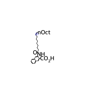 CCCCCCCC/C=C\CCCCCCCC(=O)Nc1cc2ccccc2cc1C(=O)O